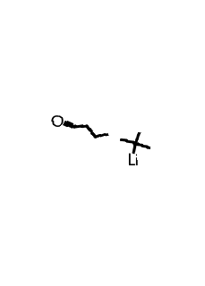 CCCC=O.[Li][C](C)(C)C